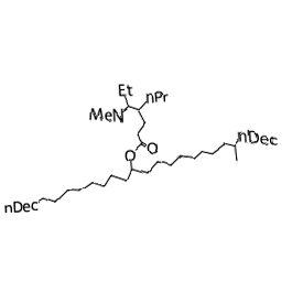 CCCCCCCCCCCCCCCCCCC(CCCCCCCCC(C)CCCCCCCCCC)OC(=O)CCC(CCC)C(CC)NC